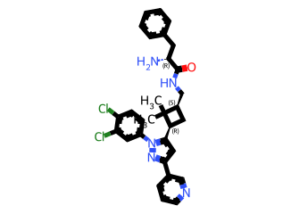 CC1(C)[C@@H](CNC(=O)[C@H](N)Cc2ccccc2)C[C@H]1c1cc(-c2cccnc2)nn1-c1ccc(Cl)c(Cl)c1